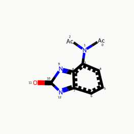 CC(=O)N(C(C)=O)c1cccc2c1=NC(=O)N=2